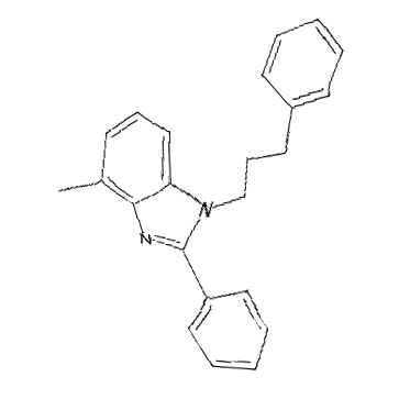 Cc1cccc2c1nc(-c1ccccc1)n2CCCc1ccccc1